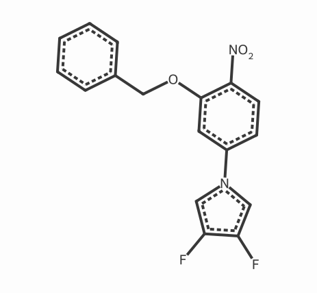 O=[N+]([O-])c1ccc(-n2cc(F)c(F)c2)cc1OCc1ccccc1